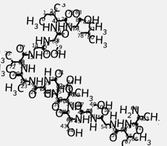 CC[C@H](C)[C@H](NC(=O)[C@H](CO)NC(=O)CNC(=O)[C@@H](NC(=O)[C@H](C)NC(=O)[C@H](C)NC(=O)[C@H](CO)NC(=O)[C@@H](NC(=O)[C@H](CO)NC(=O)[C@H](CO)NC(=O)CNC(=O)[C@@H](NC(=O)[C@H](C)N)C(C)C)[C@@H](C)O)C(C)C)C(=O)N[C@@H](CC(C)C)C(=O)O